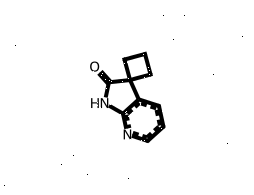 O=C1Nc2ncccc2C12CCC2